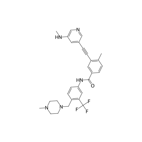 CNc1cncc(C#Cc2cc(C(=O)Nc3ccc(CN4CCN(C)CC4)c(C(F)(F)F)c3)ccc2C)c1